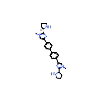 Cn1cc(-c2ccc(-c3ccc(-c4cn(C)c([C@@H]5CCCN5)n4)cc3)cc2)nc1C1CCCN1